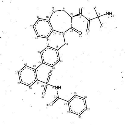 CC(C)(N)C(=O)N[C@@H]1CSc2ccccc2N(Cc2ccc(-c3ccccc3S(=O)(=O)NC(=O)c3ccccc3)cc2)C1=O